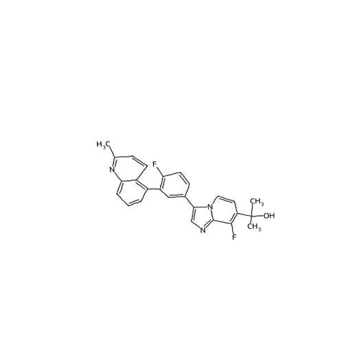 Cc1ccc2c(-c3cc(-c4cnc5c(F)c(C(C)(C)O)ccn45)ccc3F)cccc2n1